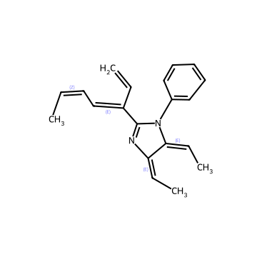 C=C/C(=C\C=C/C)c1nc(=C/C)/c(=C\C)n1-c1ccccc1